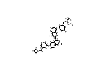 CN(C)Cc1cc(F)cc(-c2cccc3[nH]c(-c4n[nH]c5ncc(-c6cncc(CN7CCC7)c6)cc45)nc23)c1